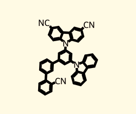 N#Cc1ccc2c(c1)c1cc(C#N)ccc1n2-c1cc(-c2cccc(-c3ccccc3C#N)c2)cc(-n2c3ccccc3c3ccccc32)c1